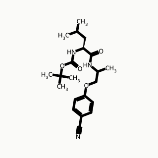 CC(C)C[C@H](NC(=O)OC(C)(C)C)C(=O)NC(C)COc1ccc(C#N)cc1